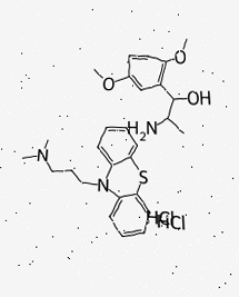 CN(C)CCCN1c2ccccc2Sc2ccccc21.COc1ccc(OC)c(C(O)C(C)N)c1.Cl.Cl